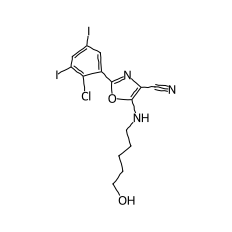 N#Cc1nc(-c2cc(I)cc(I)c2Cl)oc1NCCCCCO